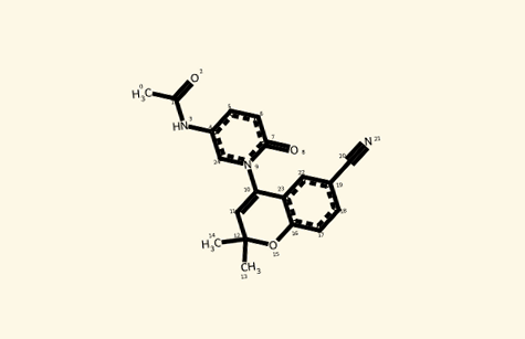 CC(=O)Nc1ccc(=O)n(C2=CC(C)(C)Oc3ccc(C#N)cc32)c1